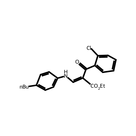 CCCCc1ccc(N/C=C(/C(=O)OCC)C(=O)c2ccccc2Cl)cc1